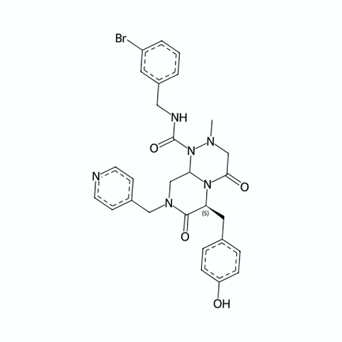 CN1CC(=O)N2C(CN(Cc3ccncc3)C(=O)[C@@H]2Cc2ccc(O)cc2)N1C(=O)NCc1cccc(Br)c1